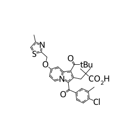 Cc1csc(COc2ccn3c(C(=O)c4ccc(Cl)c(C)c4)c(CC(C)(C)C(=O)O)c(C(=O)C(C)(C)C)c3c2)n1